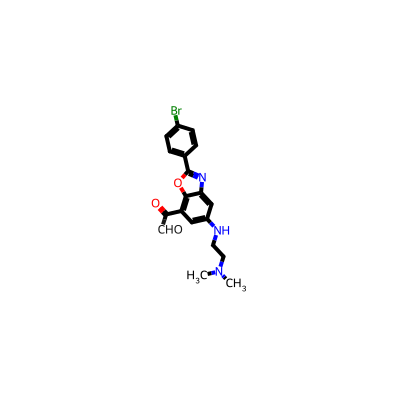 CN(C)CCNc1cc(C(=O)C=O)c2oc(-c3ccc(Br)cc3)nc2c1